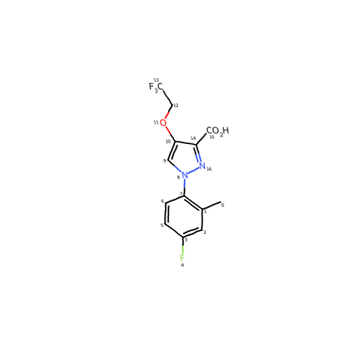 Cc1cc(F)ccc1-n1cc(OCC(F)(F)F)c(C(=O)O)n1